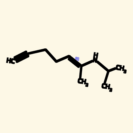 C#CCC/C=C(\C)NC(C)C